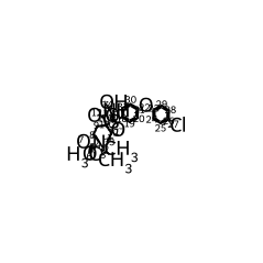 CC(C)(C)[N+]1(C(=O)[O-])CCC(C(=O)NO)(S(=O)(=O)c2ccc(Oc3ccc(Cl)cc3)cc2)CC1